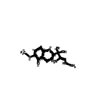 CC(C)C(O)(/C(N)=C/NN)c1ccc2c(Cl)c(OC(F)(F)F)ccc2n1